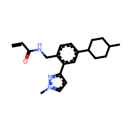 C=CC(=O)NCc1ccc(C2CCC(C)CC2)cc1-c1ccn(C)n1